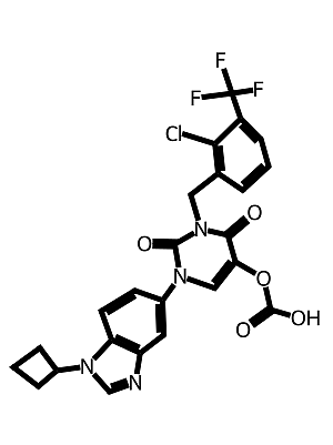 O=C(O)Oc1cn(-c2ccc3c(c2)ncn3C2CCC2)c(=O)n(Cc2cccc(C(F)(F)F)c2Cl)c1=O